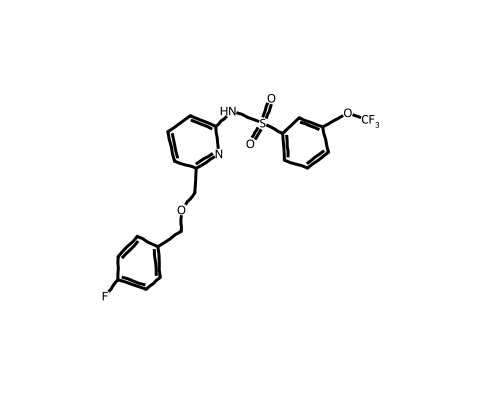 O=S(=O)(Nc1cccc(COCc2ccc(F)cc2)n1)c1cccc(OC(F)(F)F)c1